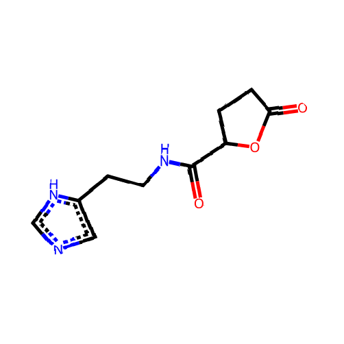 O=C1CCC(C(=O)NCCc2cnc[nH]2)O1